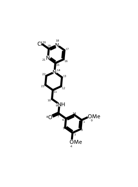 COc1cc(OC)cc(C(=O)NCC2CCN(c3ccnc(Cl)n3)CC2)c1